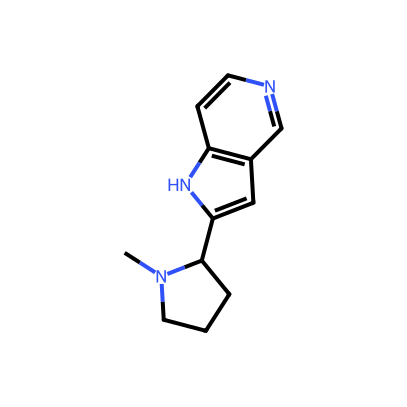 CN1CCCC1c1cc2cnccc2[nH]1